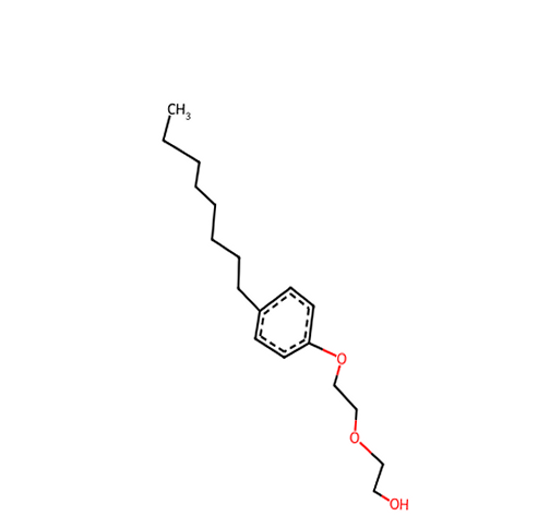 CCCCCCCCc1ccc(OCCOCCO)cc1